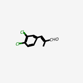 CC(C=O)=Cc1ccc(Cl)c(Cl)c1